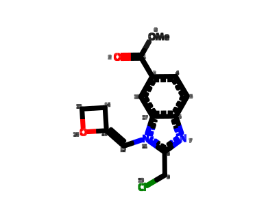 COC(=O)c1ccc2nc(CCl)n(C=C3CCO3)c2c1